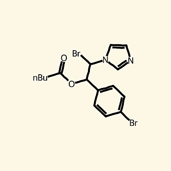 CCCCC(=O)OC(c1ccc(Br)cc1)C(Br)n1ccnc1